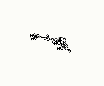 C[C@]12C=CC(=O)C=C1CC[C@H]1[C@@H]3CC(O)[C@](O)(C(=O)COC(=O)NCCOC(=O)OCCCCON(O)O)[C@@]3(C)C[C@H](O)[C@@]12F